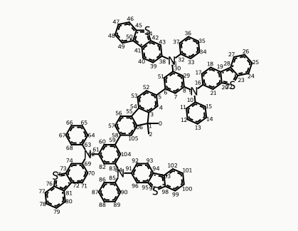 CC1(C)c2cc(-c3cc(N(c4ccccc4)c4ccc5c(c4)sc4ccccc45)cc(N(c4ccccc4)c4ccc5c(c4)sc4ccccc45)c3)ccc2-c2ccc(-c3cc(N(c4ccccc4)c4ccc5c(c4)sc4ccccc45)cc(N(c4ccccc4)c4ccc5c(c4)sc4ccccc45)c3)cc21